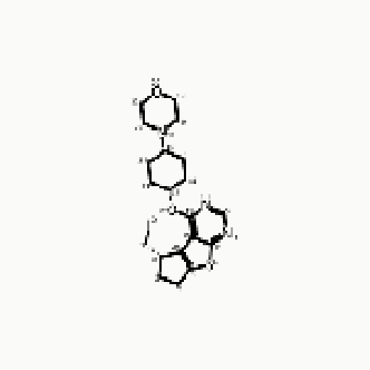 IC[C@H]1CCc2sc3ncnc(O[C@H]4CC[C@H](N5CCOCC5)CC4)c3c21